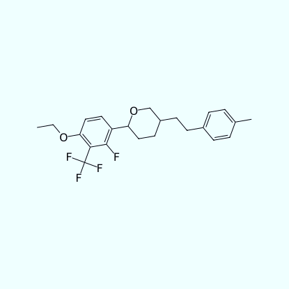 CCOc1ccc(C2CCC(CCc3ccc(C)cc3)CO2)c(F)c1C(F)(F)F